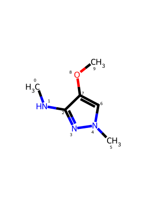 CNc1nn(C)cc1OC